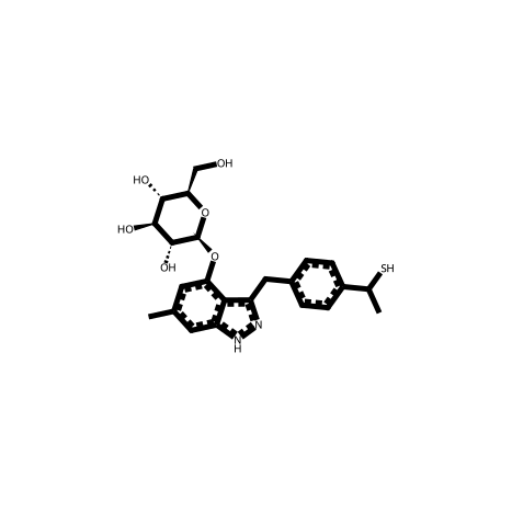 Cc1cc(O[C@@H]2O[C@H](CO)[C@@H](O)[C@H](O)[C@H]2O)c2c(Cc3ccc(C(C)S)cc3)n[nH]c2c1